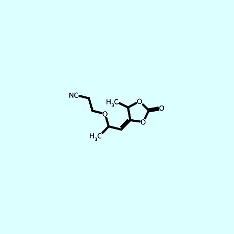 CC(C=C1OC(=O)OC1C)OCCC#N